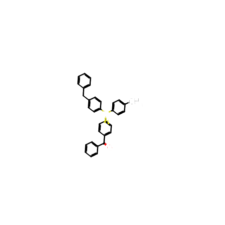 Cc1ccc([SH](c2ccc(Cc3ccccc3)cc2)c2ccc(C(=O)c3ccccc3)cc2)cc1